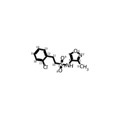 Cc1nocc1NS(=O)(=O)CCc1ccccc1Cl